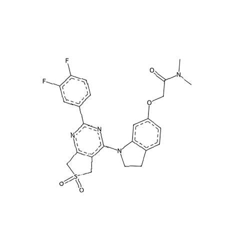 CN(C)C(=O)COc1ccc2c(c1)N(c1nc(-c3ccc(F)c(F)c3)nc3c1CS(=O)(=O)C3)CC2